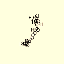 O=C1CCC(N2C(=O)c3cccc(NCCOCCOCCOCCNC(=O)c4ccc(Oc5cc(Cl)ccc5NS(=O)(=O)c5ccc(Cl)c(C(F)(F)F)c5)cc4)c3C2=O)C(=O)N1